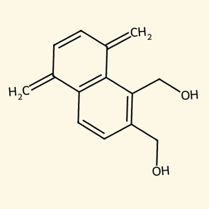 C=c1ccc(=C)c2c(CO)c(CO)ccc12